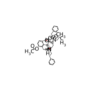 CC(=O)Oc1ccc2c3c1C[C@@H]1[C@@H]4CC[C@H](N(CC(C)C)S(=O)(=O)Cc5ccccc5)[C@H](O2)[C@]34CCN1CCc1ccccc1